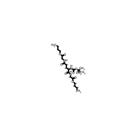 CCCCOC(=O)CNC(=O)CCC(NC(=O)OC(C)(C)C)C(=O)NCC(=O)OCCCC